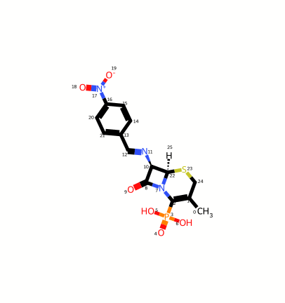 CC1=C(P(=O)(O)O)N2C(=O)[C@@H](/N=C/c3ccc([N+](=O)[O-])cc3)[C@H]2SC1